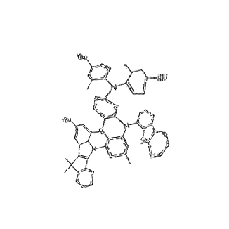 Cc1cc2c3c(c1)N1C4=C(C5C=C(C(C)(C)C)C=C(B3c3ccc(N(C6=CC=C(C(C)(C)C)CC6C)c6ccc(C(C)(C)C)cc6C)cc3N2c2cccc3c2sc2ccccc23)C51)C(C)(C)c1ccccc14